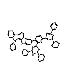 c1ccc(-c2cc(-c3ccccc3)cc(-c3ccc(-c4ccc5sc6c(ccc7c8ccccc8n(-c8ccccc8)c76)c5c4)c(-c4nc(-c5ccccc5)nc(-c5ccccc5)n4)n3)c2)cc1